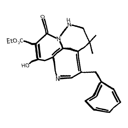 CCOC(=O)c1c(O)c2ncc(Cc3ccccc3)c3c2n(c1=O)NCC3(C)C